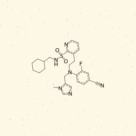 Cn1cncc1CN(CCc1cccnc1S(=O)(=O)NCC1CCCCC1)c1ccc(C#N)cc1F